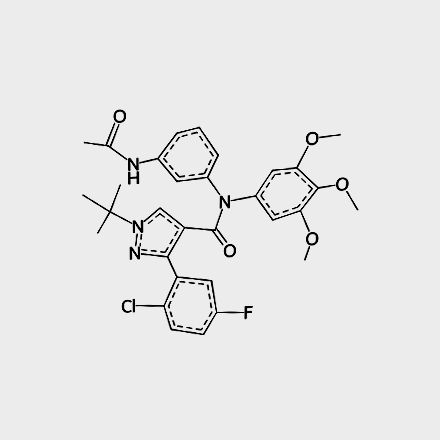 COc1cc(N(C(=O)c2cn(C(C)(C)C)nc2-c2cc(F)ccc2Cl)c2cccc(NC(C)=O)c2)cc(OC)c1OC